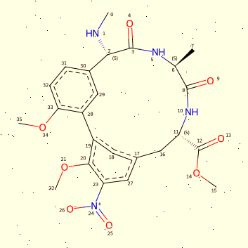 CN[C@@H]1C(=O)N[C@@H](C)C(=O)N[C@H](C(=O)OC)Cc2cc(c(OC)c([N+](=O)[O-])c2)-c2cc1ccc2OC